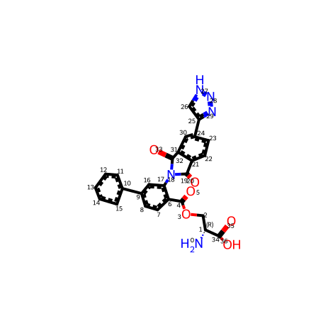 N[C@H](COC(=O)c1ccc(-c2ccccc2)cc1N1C(=O)c2ccc(-c3c[nH]nn3)cc2C1=O)C(=O)O